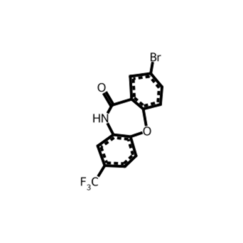 O=C1Nc2cc(C(F)(F)F)ccc2Oc2ccc(Br)cc21